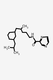 CC(C)CC1CCCC(CC(C)CCCNC(=O)c2cnccn2)C1